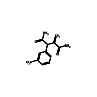 C=C(C(N)=O)C(C(N)=O)c1cccc([N+](=O)[O-])c1